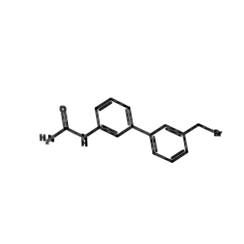 NC(=O)Nc1cccc(-c2cccc(CBr)c2)c1